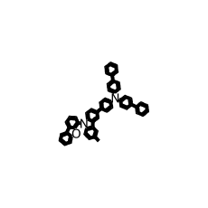 Cc1ccc2c(c1)c1cc(-c3ccc(N(c4ccc(-c5ccccc5)cc4)c4ccc(-c5ccccc5)cc4)cc3)ccc1n2-c1cccc2c1oc1ccccc12